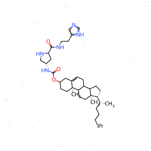 CC(C)CCC[C@@H](C)[C@H]1CCC2C3CC=C4CC(OC(=O)N[C@@H]5CNC(C(=O)NCCc6cnc[nH]6)C5)CC[C@]4(C)C3CC[C@@]21C